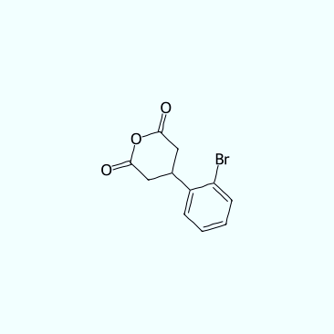 O=C1CC(c2ccccc2Br)CC(=O)O1